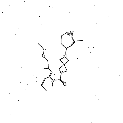 C/C=C\C(=CC(C)COCC)N(C)C(=O)N1CC2(C1)CN(C1C=CC=NC(C)=C1)C2